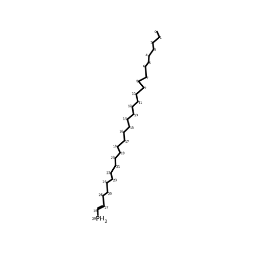 CCCCCCCCCCCCCCCCCCCCCCCCCCCC=CP